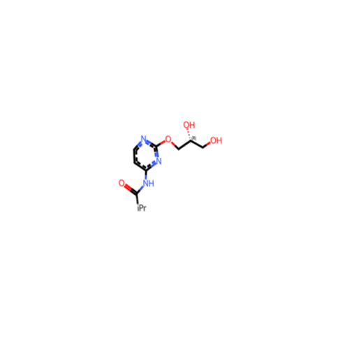 CC(C)C(=O)Nc1ccnc(OC[C@H](O)CO)n1